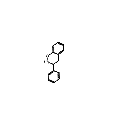 c1ccc(C2Cc3ccccc3ON2)cc1